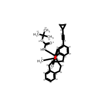 CN1C(=O)C2(N=C1NC(=O)OC(C)(C)C)c1cc(C#CC3CC3)ccc1CC21CCc2ccccc2CC1